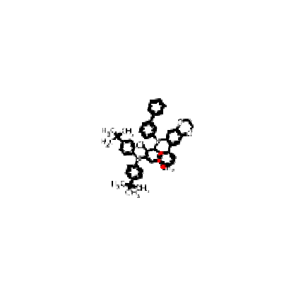 Cc1cc(N(c2ccc(C(C)(C)C)cc2)c2ccc(C(C)(C)C)cc2)c(Cl)c(N(c2cccc(-c3ccccc3)c2)c2cc3c(cc2-c2ccccc2)OCCO3)c1